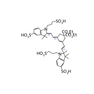 CCOC(=O)C1(C(=O)OCC)CC(/C=C/C2(C)N(CCCS(=O)(=O)O)c3ccc(S(=O)(=O)O)cc3C2(C)C)=CC(=C/C=C2/N(CCCS(=O)(=O)O)c3ccc(S(=O)(=O)O)cc3C2(C)C)/C1